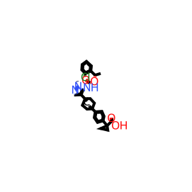 CC(OC(=O)Nc1c(C23CCC(c4ccc(C5(C(=O)O)CC5)cc4)(CC2)CC3)cnn1C)c1ccccc1Cl